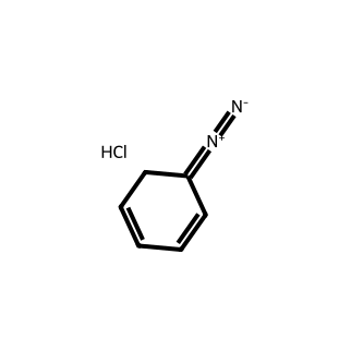 Cl.[N-]=[N+]=C1C=CC=CC1